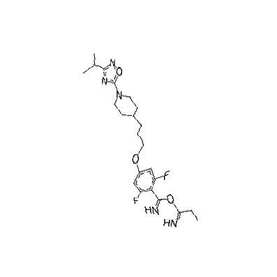 CCC(=N)OC(=N)c1c(F)cc(OCCCC2CCN(c3nc(C(C)C)no3)CC2)cc1F